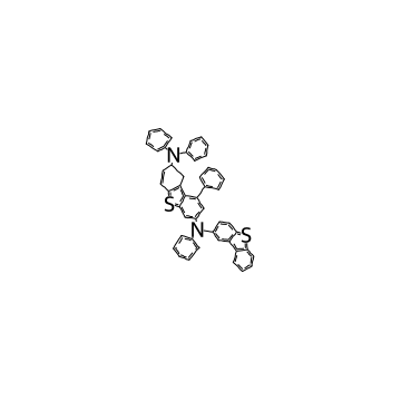 C1=CC(N(c2ccccc2)c2ccccc2)Cc2c1sc1cc(N(c3ccccc3)c3ccc4sc5ccccc5c4c3)cc(-c3ccccc3)c21